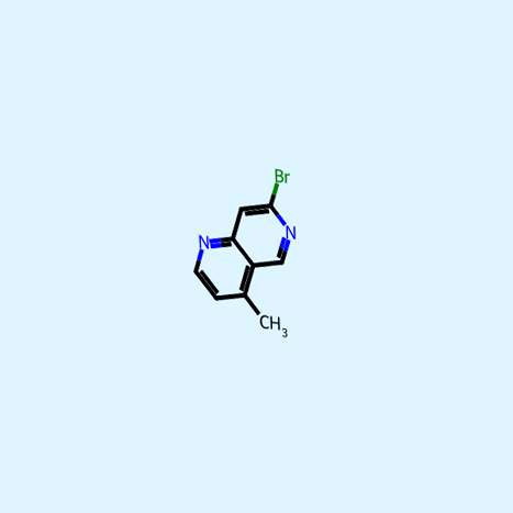 Cc1ccnc2cc(Br)ncc12